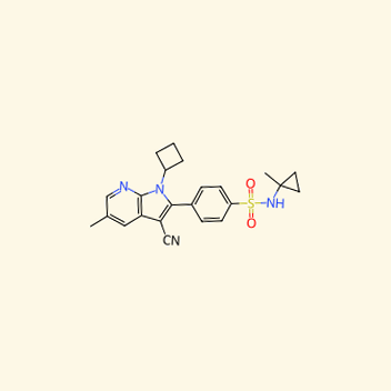 Cc1cnc2c(c1)c(C#N)c(-c1ccc(S(=O)(=O)NC3(C)CC3)cc1)n2C1CCC1